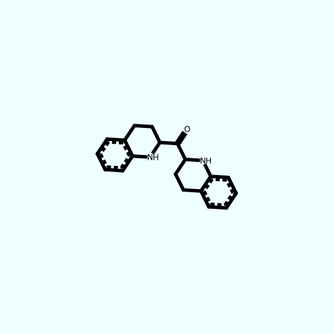 O=C(C1CCc2ccccc2N1)C1CCc2ccccc2N1